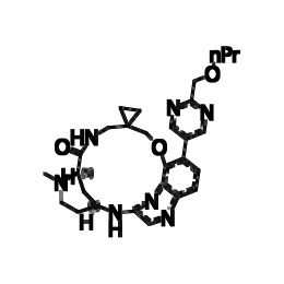 CCCOCc1ncc(-c2ccc3ncc4nc3c2OCC2(CC2)CNC(=O)[C@@H]2C[C@H](CCN2C)N4)cn1